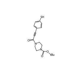 CC(C)(C)OC(=O)N1CCN(C(=O)C#Cc2ccc(S)cc2)CC1